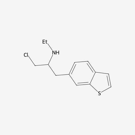 CCNC(CCl)Cc1ccc2ccsc2c1